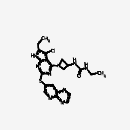 CCNC(=O)NC1CN(c2nc(Sc3cnc4nccnc4c3)nc3[nH]c(CC)c(Cl)c23)C1